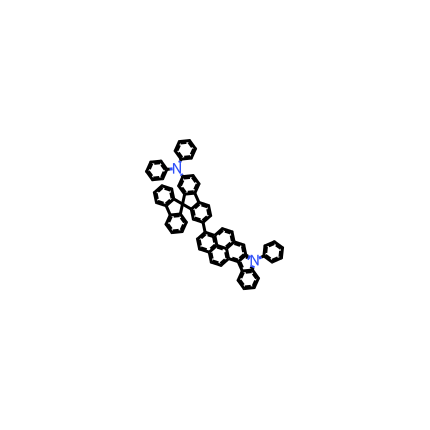 c1ccc(N(c2ccccc2)c2ccc3c(c2)C2(c4ccccc4-c4ccccc42)c2cc(-c4ccc5ccc6c7c(ccc4c57)cc4c6c5ccccc5n4-c4ccccc4)ccc2-3)cc1